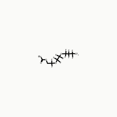 CCC(C)C(=O)OCC(F)(F)OC(F)(F)C(F)(F)OC(F)(F)C(F)(F)C(F)(F)C(F)(F)F